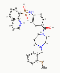 CC(C)(C)Sc1ccccc1CN1CCCN(C(=O)C2C=CC(NS(=O)(=O)c3cccc4cccnc34)=CC2)CC1